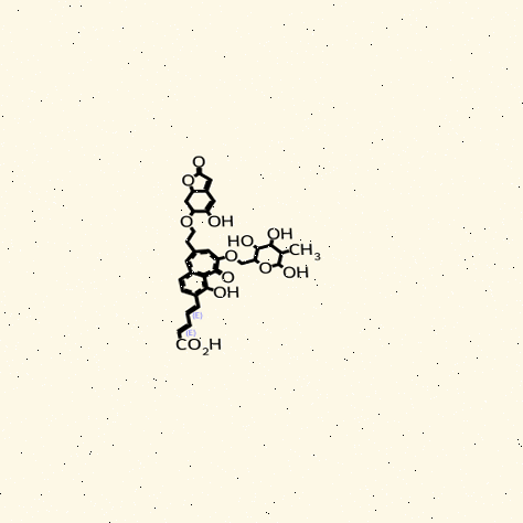 CC1C(O)OC(COc2cc(CCOC3CC4OC(=O)C=C4C=C3O)cc3ccc(/C=C/C=C/C(=O)O)c(O)c3c2=O)C(O)C1O